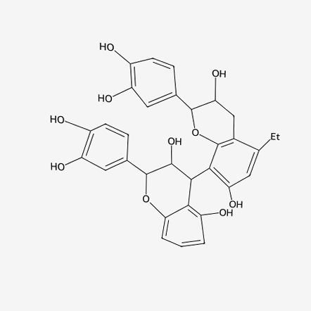 CCc1cc(O)c(C2c3c(O)cccc3OC(c3ccc(O)c(O)c3)C2O)c2c1CC(O)C(c1ccc(O)c(O)c1)O2